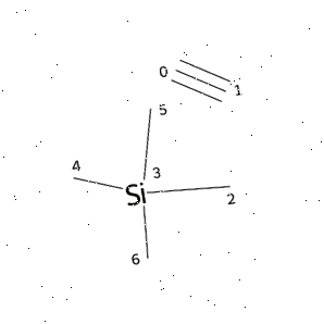 C#C.C[Si](C)(C)C